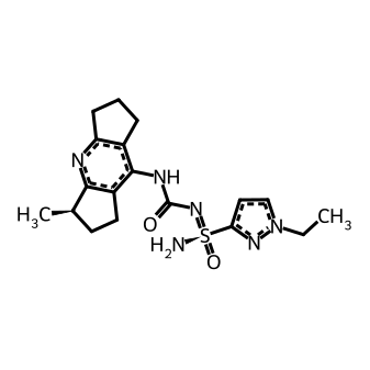 CCn1ccc([S@](N)(=O)=NC(=O)Nc2c3c(nc4c2CC[C@H]4C)CCC3)n1